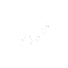 Cn1nc(C(F)F)cc1C(=O)Nc1nc(-c2ccc3c(c2)CCC(=O)N3)cs1